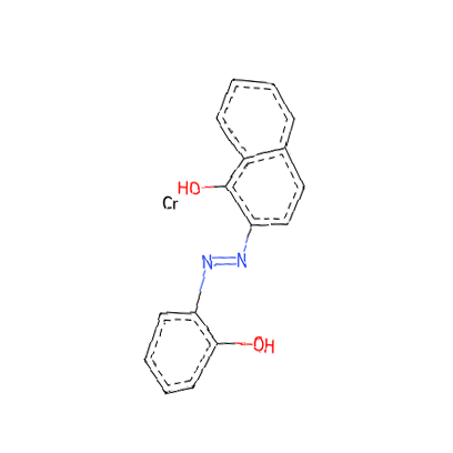 Oc1ccccc1N=Nc1ccc2ccccc2c1O.[Cr]